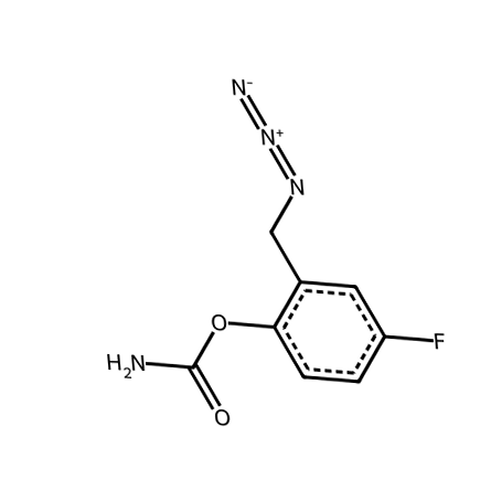 [N-]=[N+]=NCc1cc(F)ccc1OC(N)=O